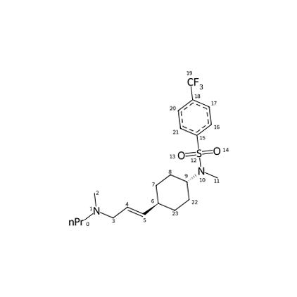 CCCN(C)CC=C[C@H]1CC[C@H](N(C)S(=O)(=O)c2ccc(C(F)(F)F)cc2)CC1